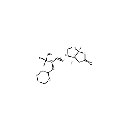 CCCCC(C)(F)[C@@H](/C=C/[C@@H]1CC[C@H]2OC(=O)C[C@@H]12)OC1CCCCO1